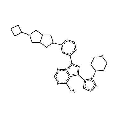 Nc1ncnn2c(-c3cccc(N4CC5CN(C6CCC6)CC5C4)c3)cc(-c3ccnn3C3CCOCC3)c12